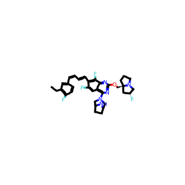 CCc1cc(/C=C\C=C\c2c(F)cc3c(N4CC5CCC(C4)N5)nc(OC[C@@]45CCCN4C[C@H](F)C5)nc3c2F)ccc1F